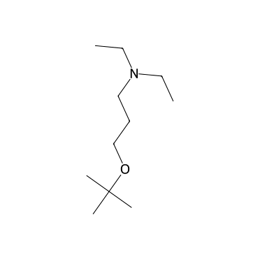 CCN(CC)CCCOC(C)(C)C